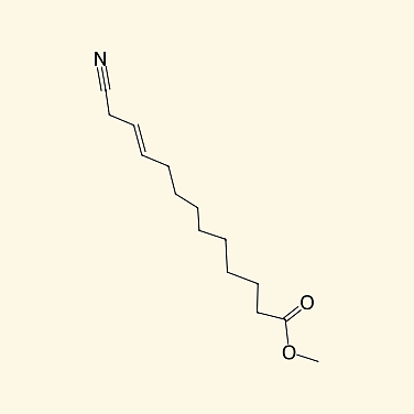 COC(=O)CCCCCCCC/C=C/CC#N